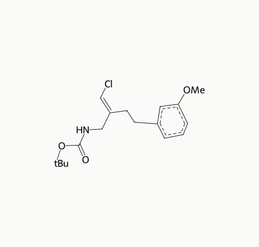 COc1cccc(CC/C(=C\Cl)CNC(=O)OC(C)(C)C)c1